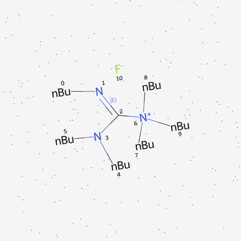 CCCC/N=C(\N(CCCC)CCCC)[N+](CCCC)(CCCC)CCCC.[F-]